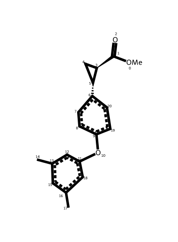 COC(=O)[C@@H]1C[C@H]1c1ccc(Oc2cc(C)cc(C)c2)cc1